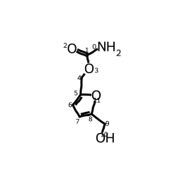 NC(=O)OCc1ccc(CO)o1